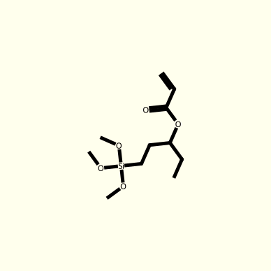 C=CC(=O)OC(CC)CC[Si](OC)(OC)OC